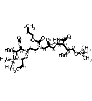 C=CCOC(=O)N(CCN(OCC=C)C(=C=O)C(O[SiH](C)C)C(C)(C)C)CC(=O)C[C@H]1NC(=O)[C@H]1[C@@H](CO[SiH](C)C)C(C)(C)C